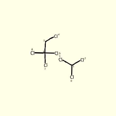 ClC(Cl)Cl.ClCC(Cl)(Cl)Cl